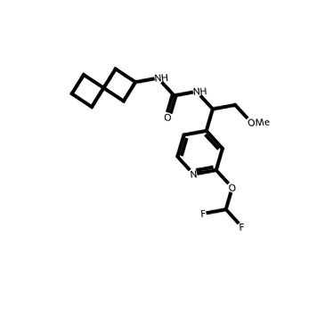 COCC(NC(=O)NC1CC2(CCC2)C1)c1ccnc(OC(F)F)c1